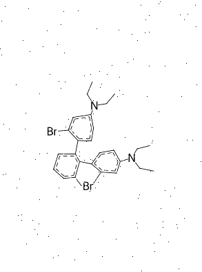 CCN(CC)c1ccc(-c2cccc(C)c2-c2ccc(N(CC)CC)cc2Br)c(Br)c1